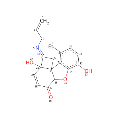 C=CC/N=C1\CC23c4c(CC)ccc(O)c4OC2C(=O)C=CC13O